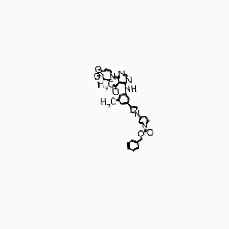 Cc1cc(C2CN(C3CCN(C(=O)OCc4ccccc4)C3)C2)cc2c1O[C@@H](C)c1c(ncnc1N1CCS(=O)(=O)CC1)N2